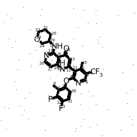 Cc1c(Oc2ncc(C(F)(F)F)c(C)c2-c2cc(=O)c3c(NC4CCCOC4)nccc3[nH]2)ccc(F)c1F